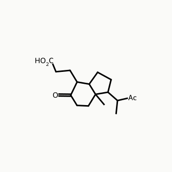 CC(=O)C(C)C1CCC2C(CCC(=O)O)C(=O)CCC12C